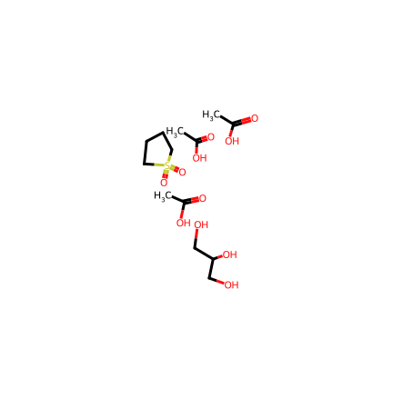 CC(=O)O.CC(=O)O.CC(=O)O.O=S1(=O)CCCC1.OCC(O)CO